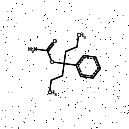 CCCC(CCC)(OC(N)=O)c1ccccc1